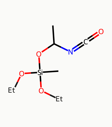 CCO[Si](C)(OCC)OC(C)N=C=O